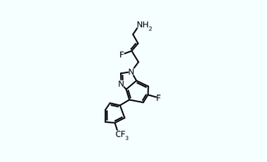 NC/C=C(\F)Cn1cnc2c(-c3cccc(C(F)(F)F)c3)cc(F)cc21